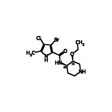 CCO[C@H]1CNCC[C@H]1NC(=O)c1[nH]c(C)c(Cl)c1Br